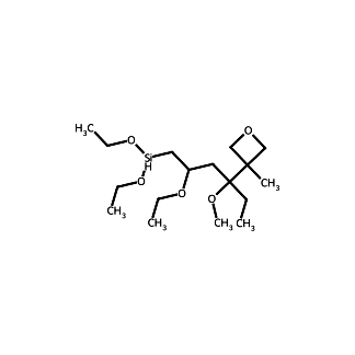 CCOC(C[SiH](OCC)OCC)CC(CC)(OC)C1(C)COC1